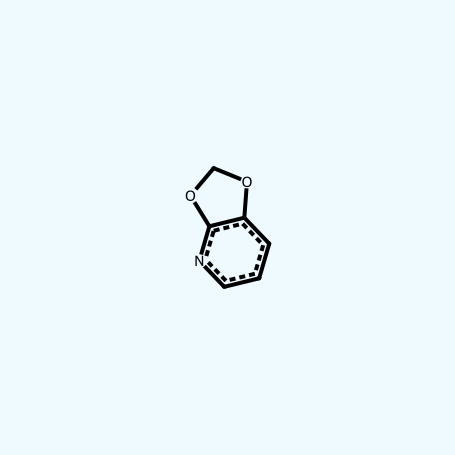 c1cnc2c(c1)OCO2